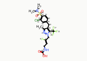 Cc1nn(CC(F)=CCNC(=O)O)c(C(F)(F)F)c1Cc1ccc(S(=O)(=O)N(C)C)c(Cl)c1